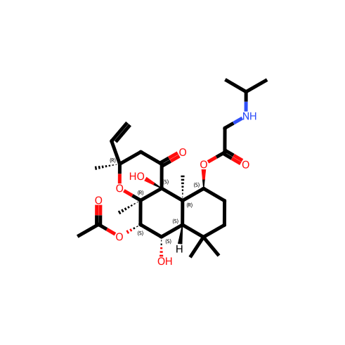 C=C[C@@]1(C)CC(=O)[C@]2(O)[C@@]3(C)[C@@H](OC(=O)CNC(C)C)CCC(C)(C)[C@@H]3[C@H](O)[C@H](OC(C)=O)[C@@]2(C)O1